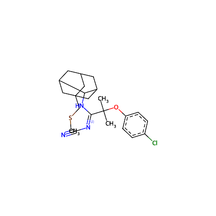 CSCC12CC3CC(C1)C(N/C(=N\C#N)C(C)(C)Oc1ccc(Cl)cc1)C(C3)C2